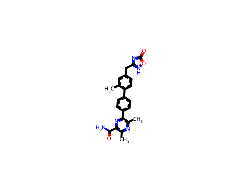 Cc1cc(Cc2nc(=O)o[nH]2)ccc1-c1ccc(-c2nc(C(N)=O)c(C)nc2C)cc1